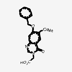 COc1cc2c(=O)n(CC(=O)O)cnc2cc1OCc1ccccc1